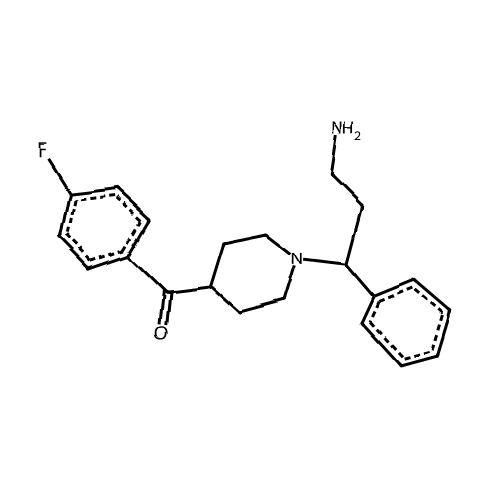 NCCC(c1ccccc1)N1CCC(C(=O)c2ccc(F)cc2)CC1